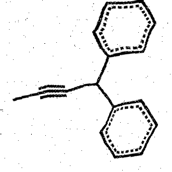 CC#CC(c1ccccc1)c1ccccc1